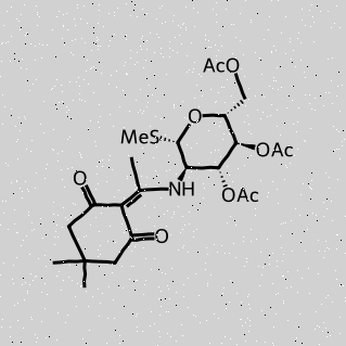 CS[C@@H]1O[C@H](COC(C)=O)[C@@H](OC(C)=O)[C@H](OC(C)=O)[C@H]1NC(C)=C1C(=O)CC(C)(C)CC1=O